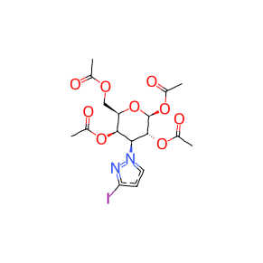 CC(=O)OC[C@H]1O[C@@H](OC(C)=O)[C@H](OC(C)=O)[C@@H](n2ccc(I)n2)[C@H]1OC(C)=O